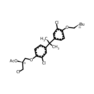 CC[C@H](C)COc1ccc(C(C)(C)c2ccc(OC[C@@H](CCl)OC(C)=O)c(Cl)c2)cc1Cl